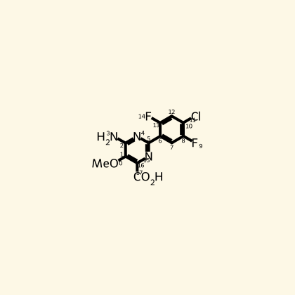 COc1c(N)nc(-c2cc(F)c(Cl)cc2F)nc1C(=O)O